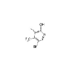 Cc1c(O)ncc(Br)c1C(F)(F)F